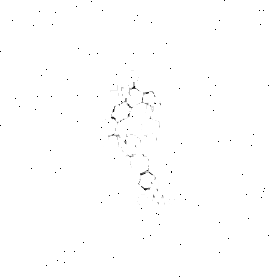 COc1ccc(CN2CCN(C(=O)c3cc4c(cc3C)[nH]c(=O)c3cnn(C5CCOCC5)c34)C[C@@H]2C)cn1